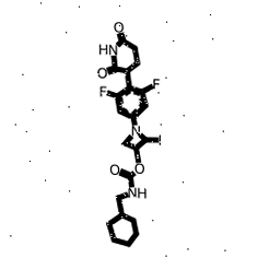 O=C1CCC(c2c(F)cc(N3CC(OC(=O)NCC4CCCCC4)C3I)cc2F)C(=O)N1